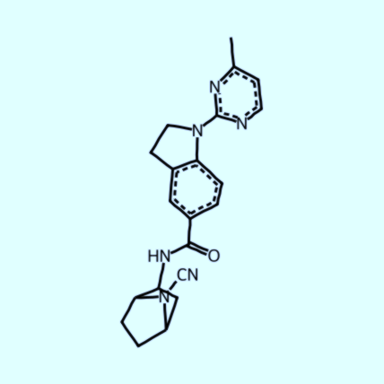 Cc1ccnc(N2CCc3cc(C(=O)NC4CC5CCC4N5C#N)ccc32)n1